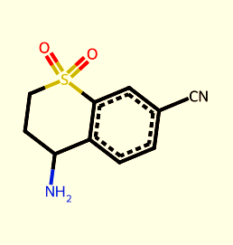 N#Cc1ccc2c(c1)S(=O)(=O)CCC2N